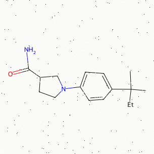 CCC(C)(C)c1ccc(N2CCC(C(N)=O)C2)cc1